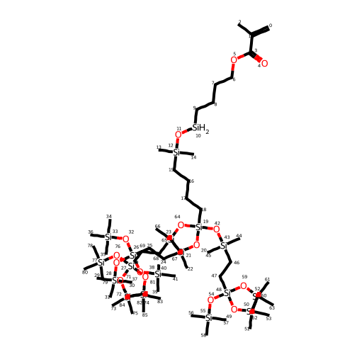 C=C(C)C(=O)OCCCC[SiH2]O[Si](C)(C)CCCC[Si](O[Si](C)(C)CC[Si](O[Si](C)(C)C)(O[Si](C)(C)C)O[Si](C)(C)C)(O[Si](C)(C)CC[Si](O[Si](C)(C)C)(O[Si](C)(C)C)O[Si](C)(C)C)O[Si](C)(C)CC[Si](O[Si](C)(C)C)(O[Si](C)(C)C)O[Si](C)(C)C